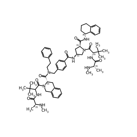 CN[C@@H](C)C(=O)NC(C(=O)N1Cc2ccccc2C[C@H]1C(=O)N(CCc1ccccc1)Cc1ccc(C(=O)N[C@H]2C[C@@H](C(=O)N[C@@H]3CCCc4ccccc43)N(C(=O)[C@@H](NC(=O)[C@H](C)NC)C(C)(C)C)C2)cc1)C(C)(C)C